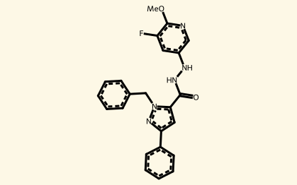 COc1ncc(NNC(=O)c2cc(-c3ccccc3)nn2Cc2ccccc2)cc1F